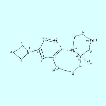 c1nc2c(cc1N1CCC1)OCC[C@@H]1CNCCN21